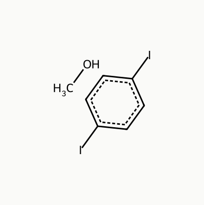 CO.Ic1ccc(I)cc1